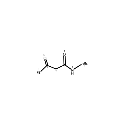 CCCCNC(=O)CC(=O)CC